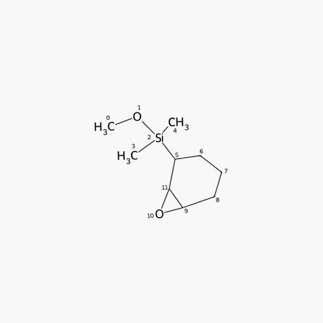 CO[Si](C)(C)C1CCCC2OC21